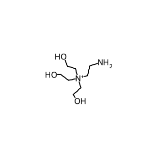 NCC[N+](CCO)(CCO)CCO